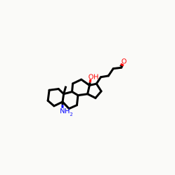 CC12CCCCC1(N)CCC1C3CCC(CCCC=O)C3(O)CCC12